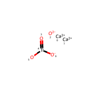 [Ca+2].[Ca+2].[O-2].[O]=[Ti]([O-])[O-]